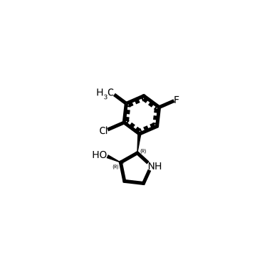 Cc1cc(F)cc([C@H]2NCC[C@H]2O)c1Cl